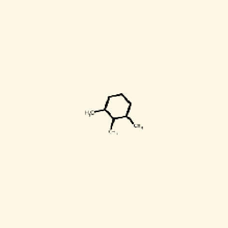 CC1C[CH]CC(C)C1C